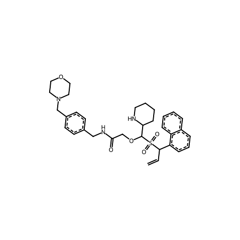 C=CC(c1cccc2ccccc12)S(=O)(=O)C(OCC(=O)NCc1ccc(CN2CCOCC2)cc1)C1CCCCN1